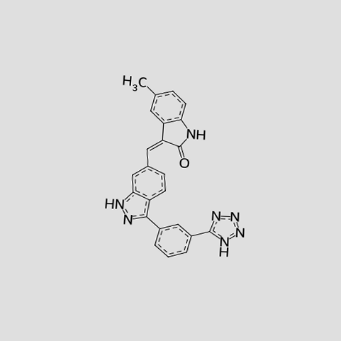 Cc1ccc2c(c1)C(=Cc1ccc3c(-c4cccc(-c5nnn[nH]5)c4)n[nH]c3c1)C(=O)N2